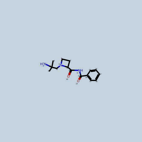 CC(C)(N)CN1CCC1C(=O)NC(=O)c1ccccc1